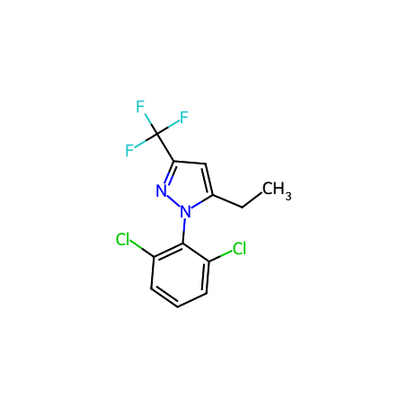 CCc1cc(C(F)(F)F)nn1-c1c(Cl)cccc1Cl